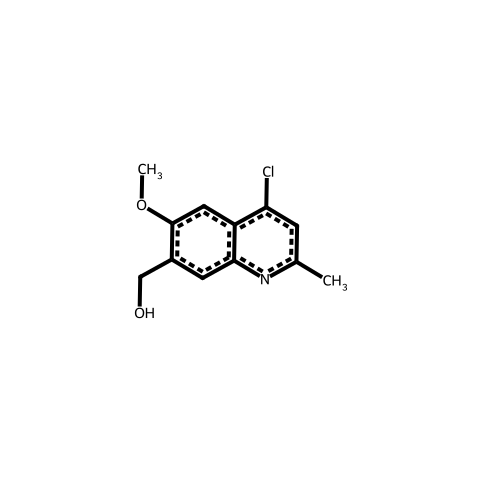 COc1cc2c(Cl)cc(C)nc2cc1CO